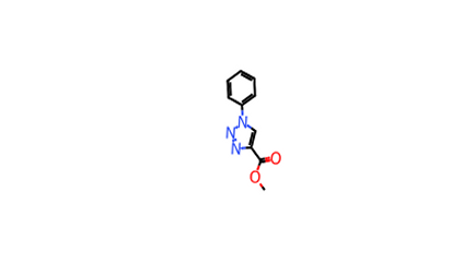 COC(=O)c1cn(-c2ccccc2)nn1